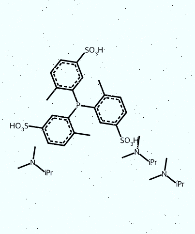 CC(C)N(C)C.CC(C)N(C)C.CC(C)N(C)C.Cc1ccc(S(=O)(=O)O)cc1P(c1cc(S(=O)(=O)O)ccc1C)c1cc(S(=O)(=O)O)ccc1C